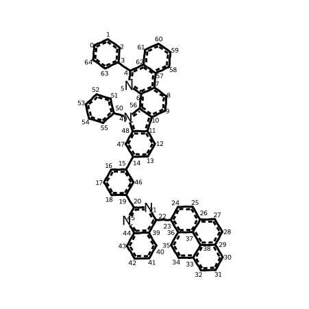 c1ccc(-c2nc3c(ccc4c5ccc(-c6cccc(-c7nc(-c8ccc9ccc%10cccc%11ccc8c9c%10%11)c8ccccc8n7)c6)cc5n(-c5ccccc5)c43)c3ccccc23)cc1